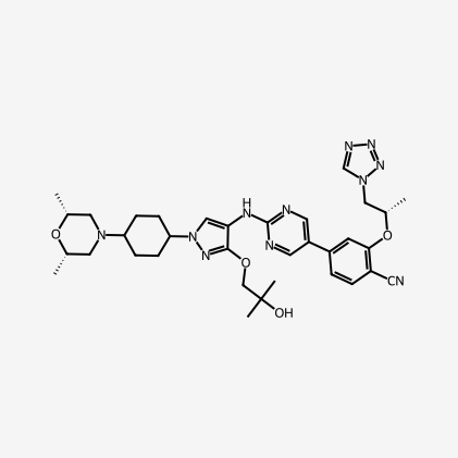 C[C@@H]1CN(C2CCC(n3cc(Nc4ncc(-c5ccc(C#N)c(O[C@@H](C)Cn6cnnn6)c5)cn4)c(OCC(C)(C)O)n3)CC2)C[C@H](C)O1